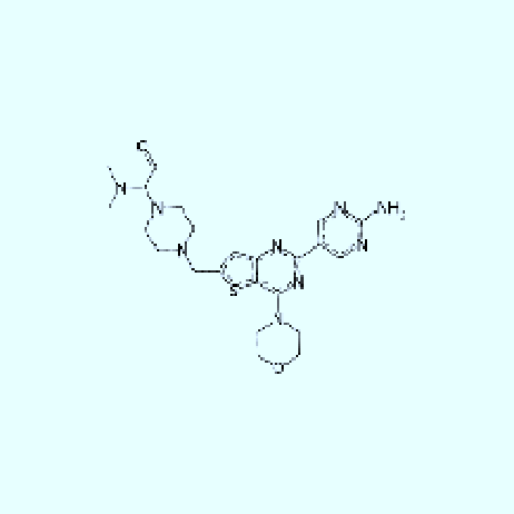 CN(C)C(C=O)N1CCN(Cc2cc3nc(-c4cnc(N)nc4)nc(N4CCOCC4)c3s2)CC1